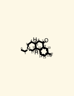 CCN1CC[C@H]2CC(=O)c3cc(F)ccc3[C@H]2C1